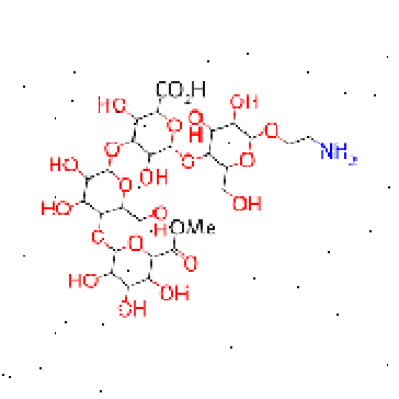 COC(=O)C1OC(OC2C(CO)OC(OC3C(O)C(OC4C(CO)OC(OCCN)C(O)C4O)OC(C(=O)O)C3O)C(O)C2O)C(O)C(O)C1O